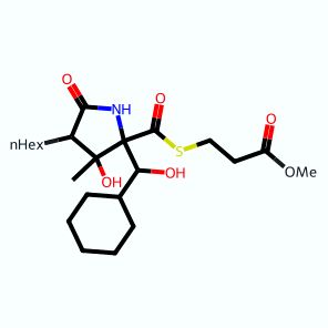 CCCCCCC1C(=O)NC(C(=O)SCCC(=O)OC)(C(O)C2CCCCC2)C1(C)O